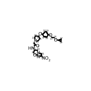 O=C(CN1CCC(Oc2ccc(OCCOC3CC3)cc2)CC1)NC1COc2nc([N+](=O)[O-])cn2C1